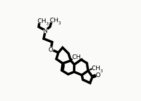 CCN(CC)CCOC1CC[C@@]2(C)C(=CCC3C2CC[C@]2(C)C(=O)CCC32)C1